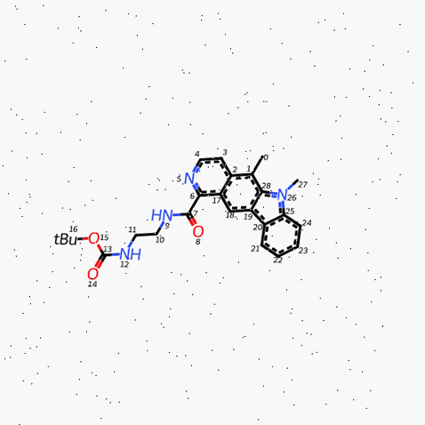 Cc1c2ccnc(C(=O)NCCNC(=O)OC(C)(C)C)c2cc2c3ccccc3n(C)c12